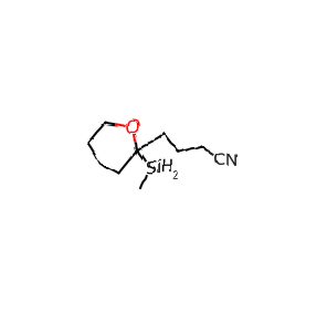 C[SiH2]C1(CCCC#N)CCCCO1